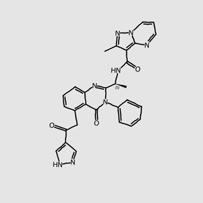 Cc1nn2cccnc2c1C(=O)N[C@@H](C)c1nc2cccc(CC(=O)c3cn[nH]c3)c2c(=O)n1-c1ccccc1